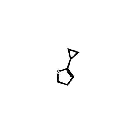 C1=C(C2CC2)SCC1